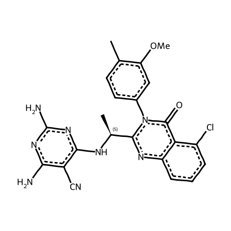 COc1cc(-n2c([C@H](C)Nc3nc(N)nc(N)c3C#N)nc3cccc(Cl)c3c2=O)ccc1C